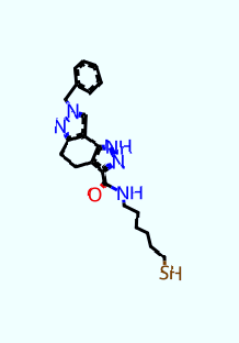 O=C(NCCCCCCS)c1n[nH]c2c1CCc1nn(Cc3ccccc3)cc1-2